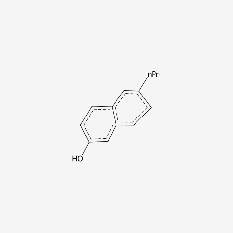 CC[CH]c1ccc2cc(O)ccc2c1